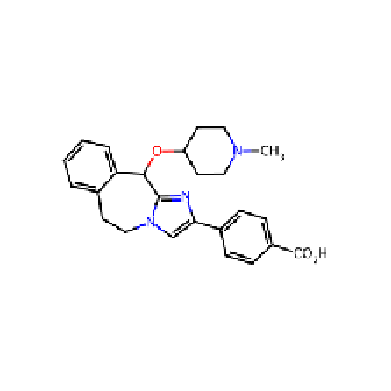 CN1CCC(OC2c3ccccc3CCn3cc(-c4ccc(C(=O)O)cc4)nc32)CC1